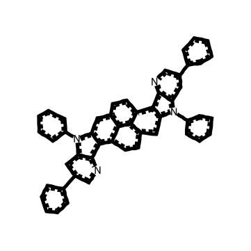 c1ccc(-c2cnc3c4c5ccc6cc7c(c8ccc(cc4n(-c4ccccc4)c3c2)c5c68)c2ncc(-c3ccccc3)cc2n7-c2ccccc2)cc1